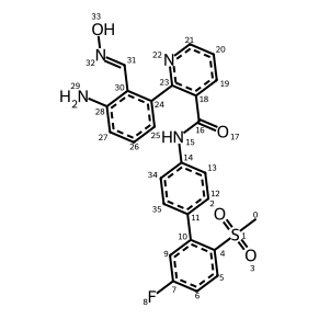 CS(=O)(=O)c1ccc(F)cc1-c1ccc(NC(=O)c2cccnc2-c2cccc(N)c2C=NO)cc1